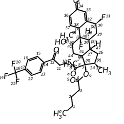 CCCCC(=O)O[C@]1(C(=O)SCC(=O)c2ccc(C(F)(F)F)cc2)[C@H](C)C[C@H]2[C@@H]3C[C@H](F)C4=CC(=O)C=C[C@]4(C)[C@@]3(F)[C@@H](O)C[C@@]21C